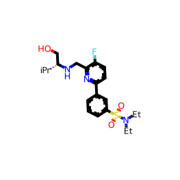 CCN(CC)S(=O)(=O)c1cccc(-c2ccc(F)c(CN[C@@H](CO)C(C)C)n2)c1